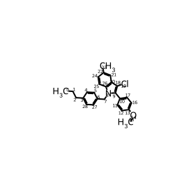 CCCc1ccc(Cn2c(-c3ccc(OC)cc3)c(Cl)c3cc(C)ccc32)cc1